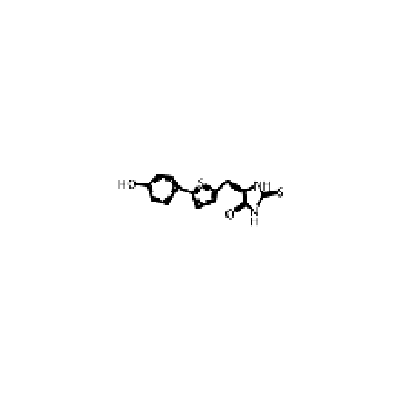 O=C1NC(=S)NC1=Cc1ccc(-c2ccc(O)cc2)s1